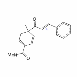 CNC(=O)C1=CCC(C)(C(=O)/C=C/c2ccccc2)C=C1